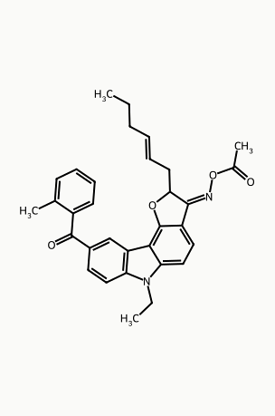 CCC/C=C/CC1Oc2c(ccc3c2c2cc(C(=O)c4ccccc4C)ccc2n3CC)/C1=N/OC(C)=O